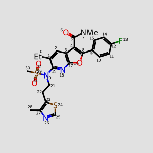 CCc1cc2c(C(=O)NC)c(-c3ccc(F)cc3)oc2nc1N(CCc1scnc1C)S(C)(=O)=O